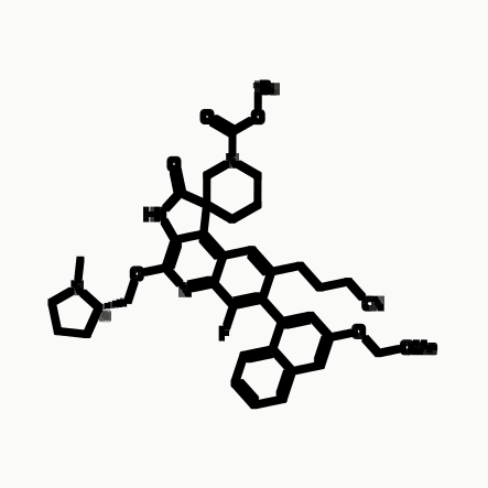 COCOc1cc(-c2c(CCCC#N)cc3c4c(c(OC[C@@H]5CCCN5C)nc3c2F)NC(=O)C42CCCN(C(=O)OC(C)(C)C)C2)c2ccccc2c1